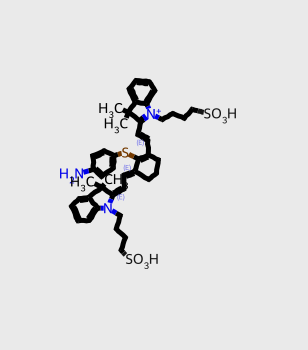 CC1(C)C(/C=C/C2=C(Sc3ccc(N)cc3)C(=C/C=C3/N(CCCCS(=O)(=O)O)c4ccccc4C3(C)C)/CCC2)=[N+](CCCCS(=O)(=O)O)c2ccccc21